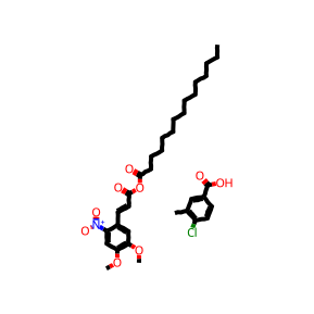 CCCCCCCCCCCCCCC(=O)OC(=O)C=Cc1cc(OC)c(OC)cc1[N+](=O)[O-].Cc1cc(C(=O)O)ccc1Cl